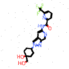 O=C(Nc1cc2cn(C3CCC(O)(CO)CC3)nc2cn1)c1cccc(C(F)(F)F)n1